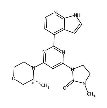 C[C@@H]1COCCN1c1cc(N2CCN(C)C2=O)nc(-c2ccnc3[nH]ccc23)n1